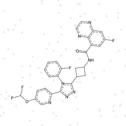 O=C(NC1CC(c2nnc(-c3ccc(OC(F)F)cn3)n2-c2ccccc2F)C1)c1cc(F)cc2nccnc12